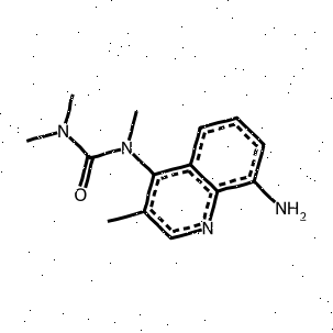 Cc1cnc2c(N)cccc2c1N(C)C(=O)N(C)C